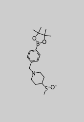 C[S+]([O-])C1CCN(Cc2ccc(B3OC(C)(C)C(C)(C)O3)cc2)CC1